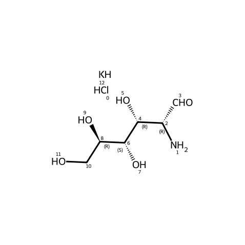 Cl.N[C@@H](C=O)[C@@H](O)[C@H](O)[C@H](O)CO.[KH]